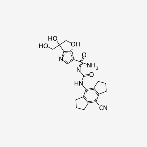 N#Cc1c2c(c(NC(=O)N=S(N)(=O)c3cnc(C(O)(CO)CO)s3)c3c1CCC3)CCC2